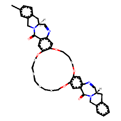 Cc1ccc2c(c1)CN1C(=O)c3cc4c(cc3N=C[C@@H]1C2)OCCCOc1cc2c(cc1OCCCCCCCCO4)C(=O)N1Cc3ccccc3C[C@H]1C=N2